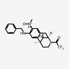 C[C@@H]1[C@H]2Cc3cc([NH+](C)[O-])c(NCc4ccccc4)cc3[C@]1(C)CCN2C(=O)C(F)(F)F